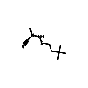 CN(C#N)NSCCC(C)(C)C